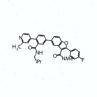 CNC(=O)c1c(-c2ccc(F)cc2)oc2ccc(-c3ccc(-c4ccnc(C)c4)c(C(=O)NCC(C)C)c3)cc12